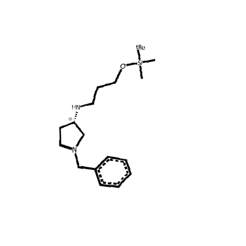 CC(C)(C)[Si](C)(C)OCCCN[C@H]1CCN(Cc2ccccc2)C1